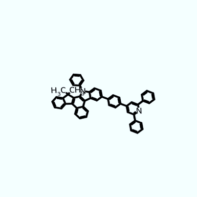 CC1(C)c2ccccc2-c2c1c1c(c3ccccc23)c2cc(-c3ccc(-c4cc(-c5ccccc5)nc(-c5ccccc5)c4)cc3)ccc2n1-c1ccccc1